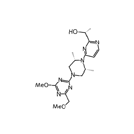 COCc1nc(OC)nc(N2C[C@@H](C)N(c3ccnc([C@@H](C)O)n3)[C@@H](C)C2)n1